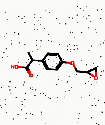 CC(C(=O)O)c1ccc(OCC2CO2)cc1